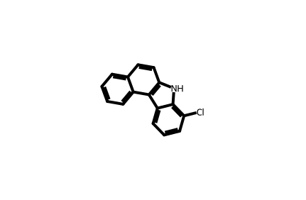 Clc1cccc2c1[nH]c1ccc3ccccc3c12